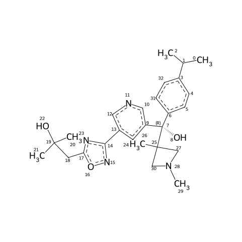 CC(C)c1ccc([C@](O)(c2cncc(-c3noc(CC(C)(C)O)n3)c2)C2(C)CN(C)C2)cc1